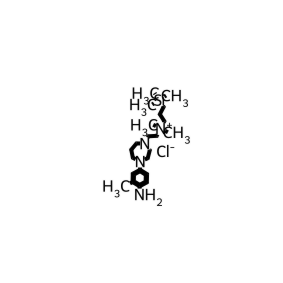 Cc1cc(N2CCCN(CC[N+](C)(C)CCC[Si](C)(C)C)CC2)ccc1N.[Cl-]